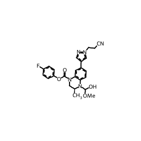 COC(O)N1c2ccc(-c3cnn(CCC#N)c3)cc2N(C(=O)Oc2ccc(F)cc2)C[C@@H]1C